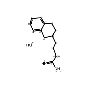 Cl.N=C(N)NCCC1CCc2ccccc2C1